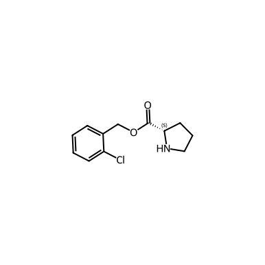 O=C(OCc1ccccc1Cl)[C@@H]1CCCN1